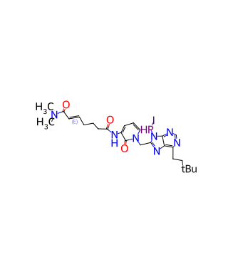 CN(C)C(=O)/C=C/CCCC(=O)Nc1cccn(Cc2nc3c(CCC(C)(C)C)ncnc3n2PI)c1=O